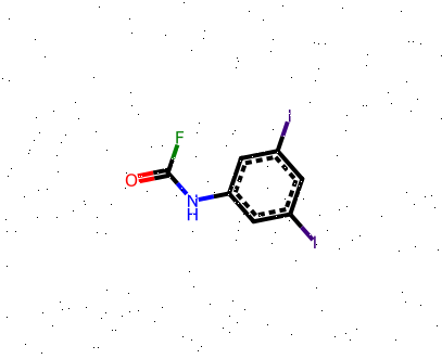 O=C(F)Nc1cc(I)cc(I)c1